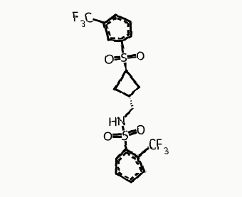 O=S(=O)(NC[C@H]1C[C@H](S(=O)(=O)c2cccc(C(F)(F)F)c2)C1)c1ccccc1C(F)(F)F